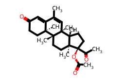 CC(=O)O[C@]1(C(C)=O)CC[C@@]2(C)[C@]3(C)C=C(C)C4=CC(=O)CC[C@]4(C)[C@@]3(C)CC[C@@]21C